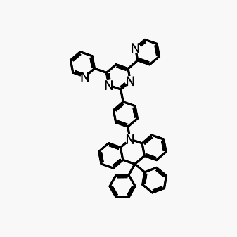 c1ccc(C2(c3ccccc3)c3ccccc3N(c3ccc(-c4nc(-c5ccccn5)cc(-c5ccccn5)n4)cc3)c3ccccc32)cc1